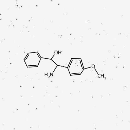 COc1ccc(C(N)C(O)c2ccccc2)cc1